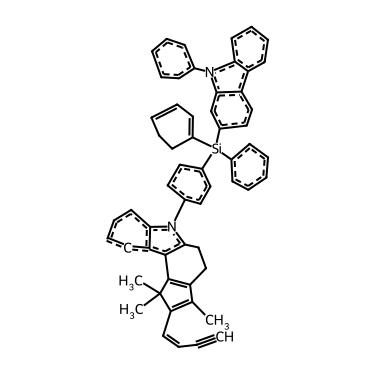 C#C/C=C\C1=C(C)C2=C(c3c(n(-c4ccc([Si](C5=CC=CCC5)(c5ccccc5)c5ccc6c7ccccc7n(-c7ccccc7)c6c5)cc4)c4ccccc34)CC2)C1(C)C